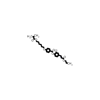 C=CCOC(=O)/C=C/c1ccc(OC(=O)c2ccc(OCCCCCCOC(=O)C(=C)C)cc2)c(Cl)c1